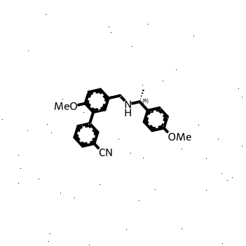 COc1ccc([C@@H](C)NCc2ccc(OC)c(-c3cccc(C#N)c3)c2)cc1